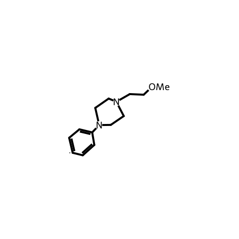 COCCN1CCN(c2cc[c]cc2)CC1